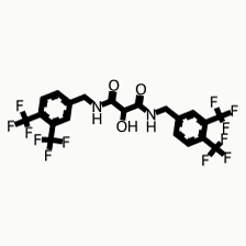 O=C(NCc1ccc(C(F)(F)F)c(C(F)(F)F)c1)C(O)C(=O)NCc1ccc(C(F)(F)F)c(C(F)(F)F)c1